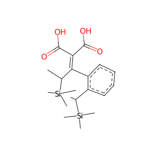 CC(C(=C(C(=O)O)C(=O)O)c1ccccc1C(C)[Si](C)(C)C)[Si](C)(C)C